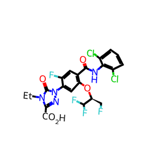 CCn1c(C(=O)O)nn(-c2cc(O[C@@H](CF)C(F)F)c(C(=O)Nc3c(Cl)cccc3Cl)cc2F)c1=O